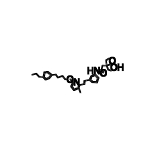 CCCc1ccc(CCCCOc2ccc(C)c(C=Cc3cccc(NC(=O)CC(CC)(CC)C(=O)O)c3)n2)cc1